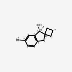 N[C@@H]1c2cc(Br)ccc2CC12CCC2